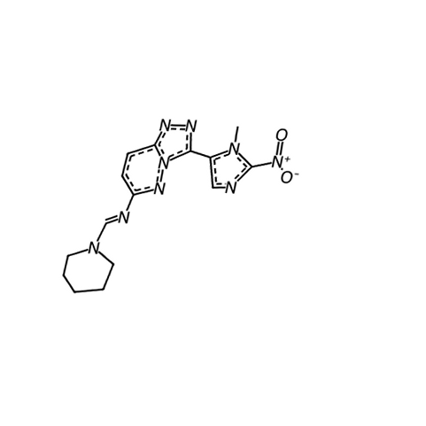 Cn1c(-c2nnc3ccc(N=CN4CCCCC4)nn23)cnc1[N+](=O)[O-]